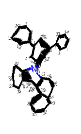 c1ccc(-c2cc(-c3ccccc3)cc(-n3c4c(c5c6ccccc6ccc53)CCCC4)c2)cc1